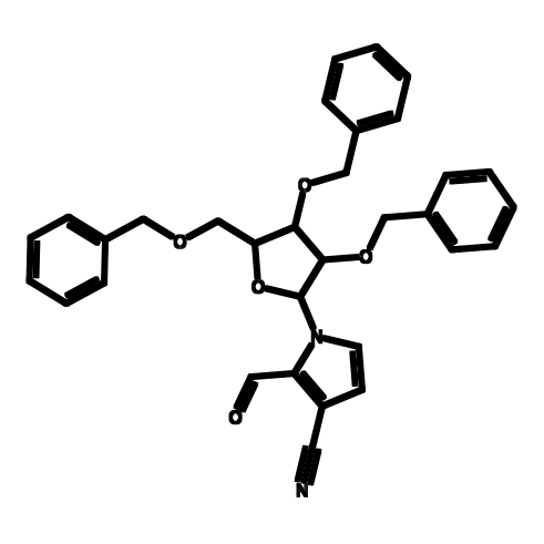 N#Cc1ccn(C2OC(COCc3ccccc3)C(OCc3ccccc3)C2OCc2ccccc2)c1C=O